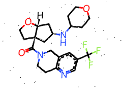 O=C(N1CCc2ncc(C(F)(F)F)cc2C1)[C@@]12CCO[C@@H]1C[C@@H](NC1CCOCC1)C2